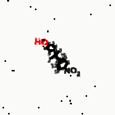 CC(C)(c1ccc(O)cc1)c1ccc([N+](=O)[O-])cc1